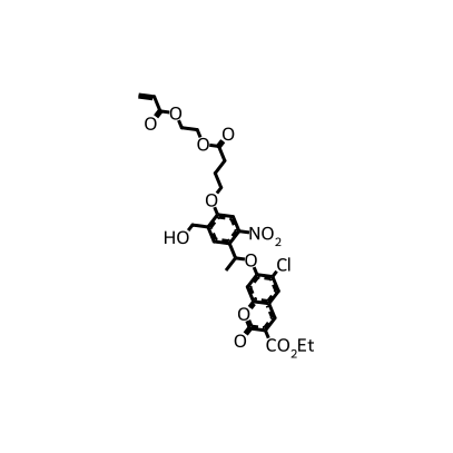 C=CC(=O)OCCOC(=O)CCCOc1cc([N+](=O)[O-])c(C(C)Oc2cc3oc(=O)c(C(=O)OCC)cc3cc2Cl)cc1CO